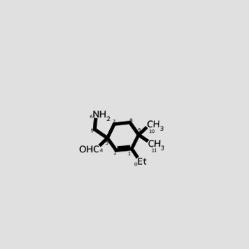 CCC1=CC(C=O)(CN)CCC1(C)C